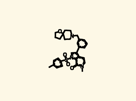 Cc1ccc(S(=O)(=O)n2cc(-c3cccc(CN4CCC5(CCCO5)CC4)c3)c3ccn(C)c(=O)c32)cc1